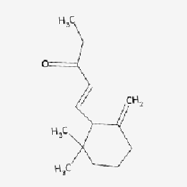 C=C1CCCC(C)(C)C1C=CC(=O)CC